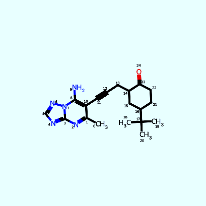 Cc1nc2ncnn2c(N)c1C#CCC1CC(C(C)(C)C)CCC1=O